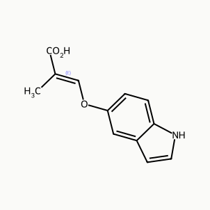 C/C(=C\Oc1ccc2[nH]ccc2c1)C(=O)O